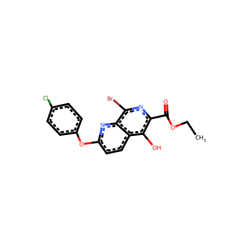 CCOC(=O)c1nc(Br)c2nc(Oc3ccc(Cl)cc3)ccc2c1O